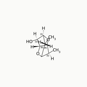 C[C@@H]1C2O[C@@H]3[C@@H](O)[C@H]1O[C@@H]3[C@H]2C